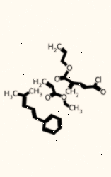 C=CC(=O)OCC.C=CCOC(=O)C(=C)C=CC(=O)Cl.CC(C)=CC=Cc1ccccc1